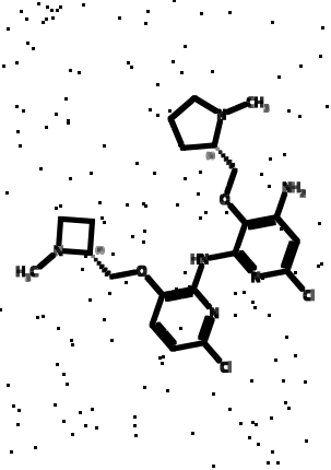 CN1CC[C@@H]1COc1ccc(Cl)nc1Nc1nc(Cl)cc(N)c1OC[C@@H]1CCCN1C